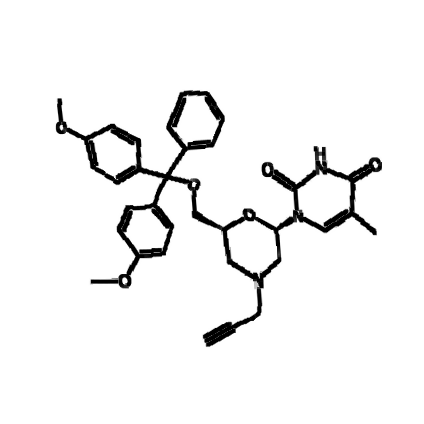 C#CCN1C[C@@H](COC(c2ccccc2)(c2ccc(OC)cc2)c2ccc(OC)cc2)O[C@@H](n2cc(C)c(=O)[nH]c2=O)C1